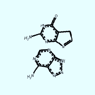 Nc1nc2c(c(=O)[nH]1)CC=N2.Nc1ncnc2[nH]nnc12